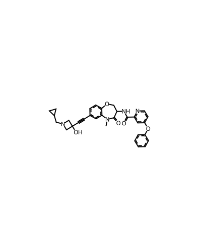 CN1C(=O)C(NC(=O)c2cc(Oc3ccccc3)ccn2)COc2ccc(C#CC3(O)CN(CC4CC4)C3)cc21